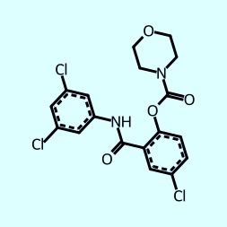 O=C(Nc1cc(Cl)cc(Cl)c1)c1cc(Cl)ccc1OC(=O)N1CCOCC1